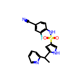 CC(c1ccccn1)c1cc(S(=O)(=O)Nc2ccc(C#N)cc2F)c[nH]1